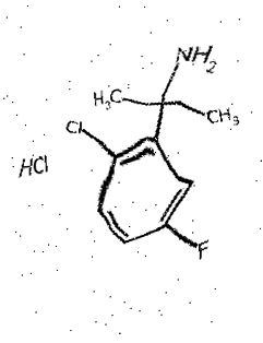 CC(C)(N)c1cc(F)ccc1Cl.Cl